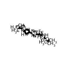 CC(C)(C)OC(=O)NC(F)(F)C(F)(F)c1nnc(-c2ccc(NC(=O)C(C)(C)C)cc2)nn1